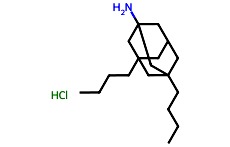 CCCCC12CC3CC(N)(C1)CC(CCCC)(C3)C2.Cl